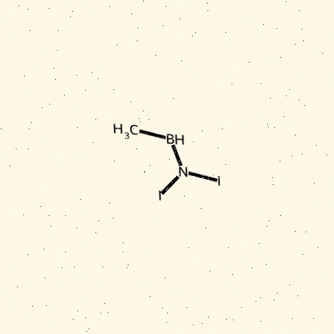 CBN(I)I